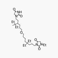 CCN1CC(=O)N(CCCC(CC)(CC)CCCCOCCCC(CCN2CC(=O)NC2=O)C(C)(CC)CC)C1=O